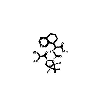 CC(C)(C)C(N)C(=O)N1C[C@H]2[C@@H]([C@H]1C(=O)NC(C(N)=O)C1CCCc3ccncc31)C2(C)C